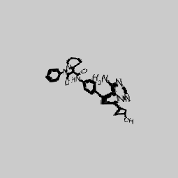 Nc1ncnn2c(C3CC(O)C3)cc(-c3ccc(NC(=O)c4c5n(n(-c6ccccc6)c4=O)CCCC5)cc3)c12